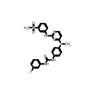 CN(c1ccc(NC(=O)Nc2cccc(F)c2)cc1)c1ccnc(Nc2cccc(S(N)(=O)=O)c2)n1